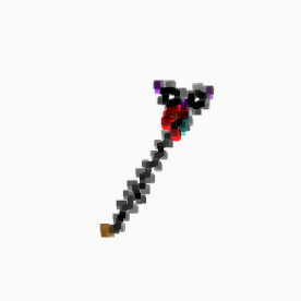 O=C(OCCCCCCCCCCCCCCCCCCBr)C(F)(F)S(=O)(=O)O[I+](c1ccc(I)cc1)c1ccc(I)cc1